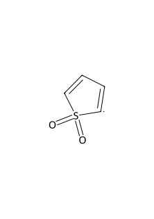 O=S1(=O)[C]=CC=C1